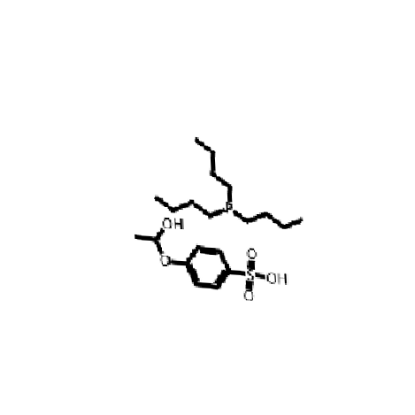 CC(O)Oc1ccc(S(=O)(=O)O)cc1.CCCCP(CCCC)CCCC